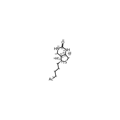 CC(=O)CCCC[C@@H]1SC[C@@H]2NC(=O)NC[C@@H]21